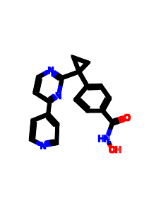 O=C(NO)c1ccc(C2(c3nccc(-c4ccncc4)n3)CC2)cc1